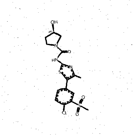 Cc1nc(NC(=O)N2CC[C@@H](O)C2)sc1-c1ccc(Cl)c(S(C)(=O)=O)c1